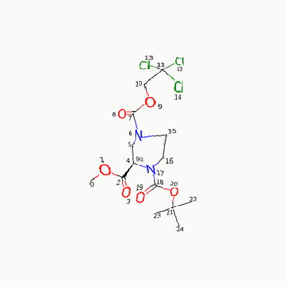 COC(=O)[C@H]1CN(C(=O)OCC(Cl)(Cl)Cl)CCN1C(=O)OC(C)(C)C